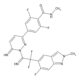 CNC(=O)c1c(F)cc(-c2ccc(=N)n(C(=N)C(F)(F)c3cc4cn(C)nc4cc3F)n2)cc1F